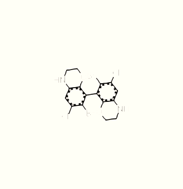 Clc1cc2c(c(-c3c(Br)c(Cl)cc4c3OCCN4)c1Br)OCCN2